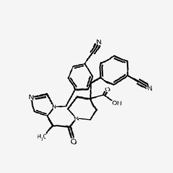 CC(C(=O)N1CCC(Cc2cccc(C#N)c2)(C(=O)O)CC1)c1cncn1Cc1ccc(C#N)cc1